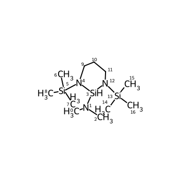 CN(C)[SiH]1N([Si](C)(C)C)CCCN1[Si](C)(C)C